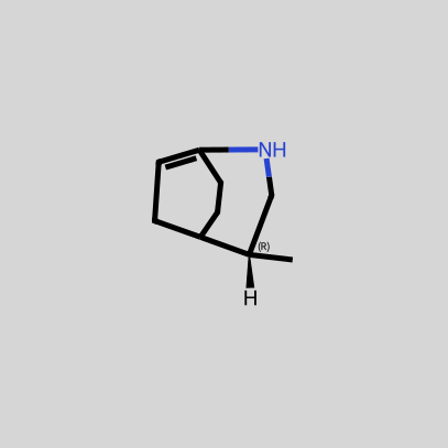 C[C@H]1CNC2=CCC1CC2